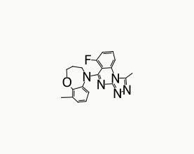 Cc1cccc2c1OCCCN2c1nc2nnc(C)n2c2cccc(F)c12